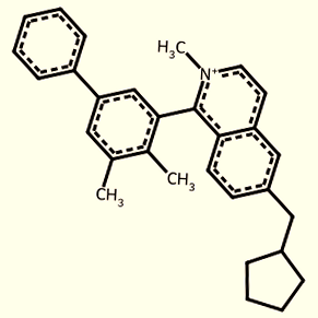 Cc1cc(-c2ccccc2)cc(-c2c3ccc(CC4CCCC4)cc3cc[n+]2C)c1C